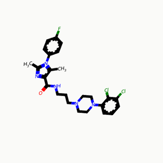 Cc1nc(C(=O)NCCCN2CCN(c3cccc(Cl)c3Cl)CC2)c(C)n1-c1ccc(F)cc1